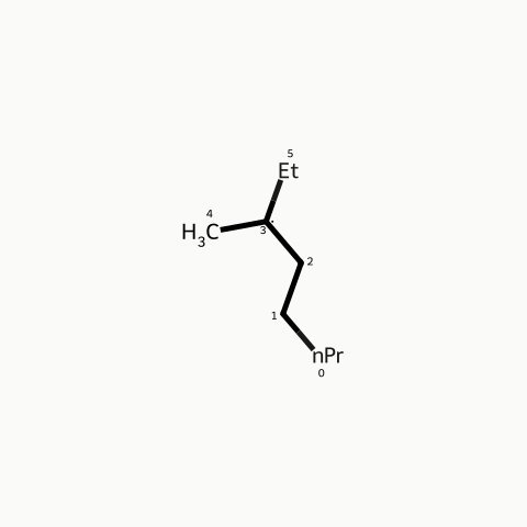 CCCCC[C](C)CC